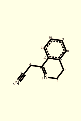 N#CCC1=NCCc2ccccc21